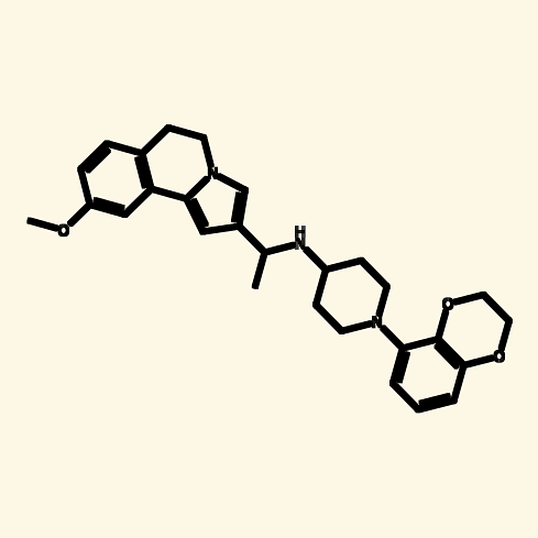 COc1ccc2c(c1)-c1cc(C(C)NC3CCN(c4cccc5c4OCCO5)CC3)cn1CC2